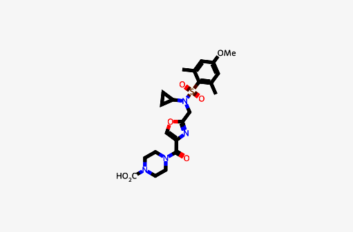 COc1cc(C)c(S(=O)(=O)N(Cc2nc(C(=O)N3CCN(C(=O)O)CC3)co2)C2CC2)c(C)c1